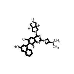 CN(C)C1CN(c2nc(N3C[C@H]4CNC[C@@H]4C3)c3cc(Cl)c(-c4cc(O)cc5ccccc45)c(F)c3n2)C1